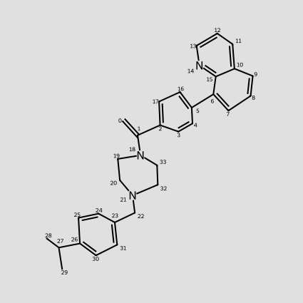 C=C(c1ccc(-c2cccc3cccnc23)cc1)N1CCN(Cc2ccc(C(C)C)cc2)CC1